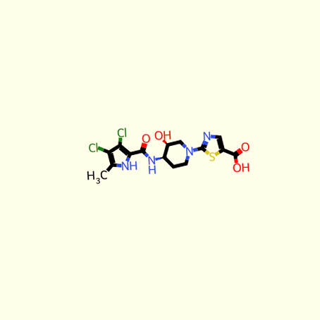 Cc1[nH]c(C(=O)N[C@@H]2CCN(c3ncc(C(=O)O)s3)C[C@@H]2O)c(Cl)c1Cl